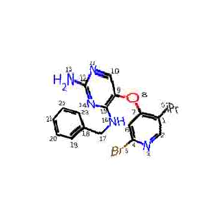 CC(C)c1cnc(Br)cc1Oc1cnc(N)nc1NCc1ccccc1